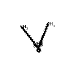 CCCCCCCCCCCCCCCCCCNC(=O)CCN(CCC(=O)NCCCCCCCCCCCCCCCCC)C1CCCCC1